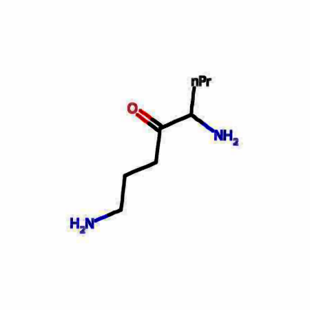 [CH2]CCC(N)C(=O)CCCN